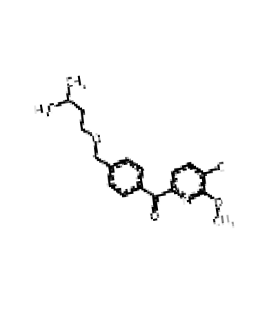 COc1nc(C(=O)c2ccc(COCCC(C)C)cc2)ccc1Cl